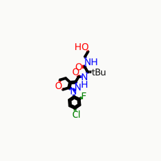 CC(C)(C)C(NC(=O)c1nn(-c2ccc(Cl)cc2F)c2c1CCOC2)C(=O)NCCO